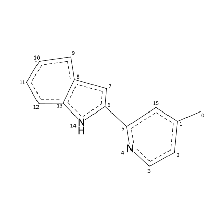 Cc1ccnc(-c2cc3c[c]ccc3[nH]2)c1